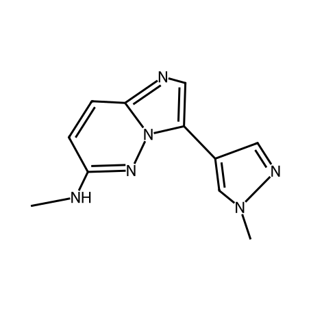 CNc1ccc2ncc(-c3cnn(C)c3)n2n1